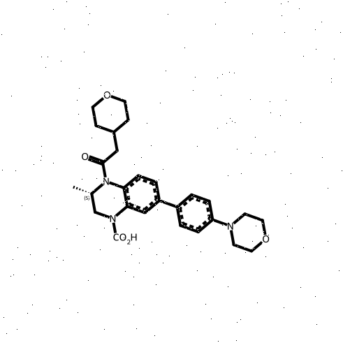 C[C@H]1CN(C(=O)O)c2cc(-c3ccc(N4CCOCC4)cc3)ccc2N1C(=O)CC1CCOCC1